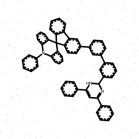 C1=C(c2ccccc2)NC(c2cccc(-c3cccc(-c4ccc5c(c4)-c4ccccc4C54c5ccccc5N(c5ccccc5)c5ccccc54)c3)c2)N=C1c1ccccc1